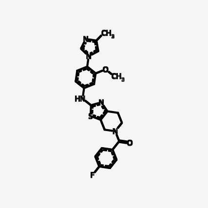 COc1cc(Nc2nc3c(s2)CN(C(=O)c2ccc(F)cc2)CC3)ccc1-n1cnc(C)c1